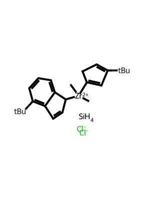 CC(C)(C)C1=CC[C]([Zr+2]([CH3])([CH3])[CH]2C=Cc3c2cccc3C(C)(C)C)=C1.[Cl-].[Cl-].[SiH4]